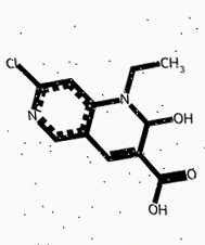 CCN1c2cc(Cl)ncc2C=C(C(=O)O)C1O